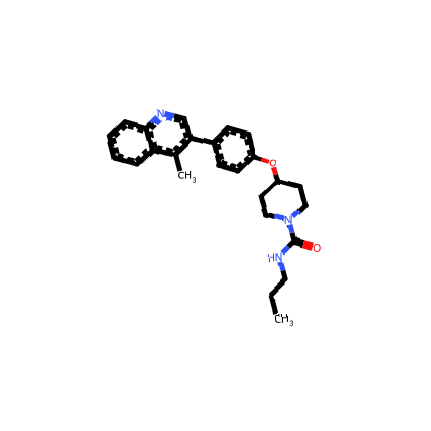 CCCNC(=O)N1CCC(Oc2ccc(-c3cnc4ccccc4c3C)cc2)CC1